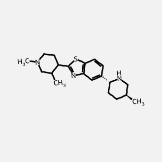 CC1CN(C)CCC1c1nc2cc([C@H]3CC[C@H](C)CN3)ccc2s1